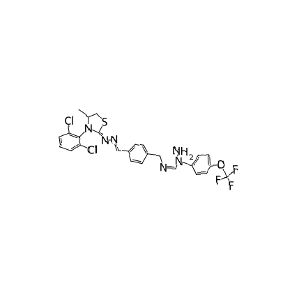 CC1CS/C(=N\N=C\c2ccc(C/N=C\N(N)c3ccc(OC(F)(F)F)cc3)cc2)N1c1c(Cl)cccc1Cl